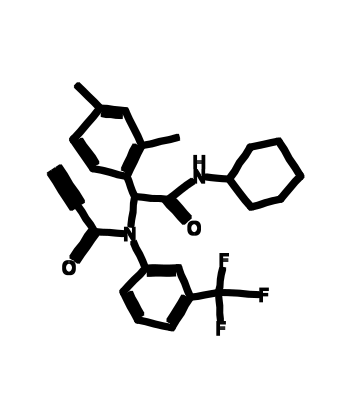 C#CC(=O)N(c1cccc(C(F)(F)F)c1)C(C(=O)NC1CCCCC1)c1ccc(C)cc1C